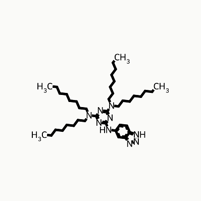 CCCCCCCCN(CCCCCCCC)c1nc(Nc2ccc3[nH]nnc3c2)nc(N(CCCCCCCC)CCCCCCCC)n1